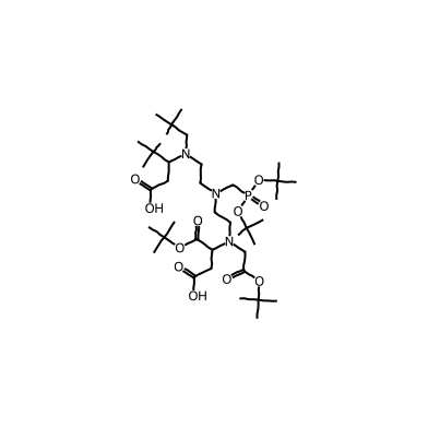 CC(C)(C)CN(CCN(CCN(CC(=O)OC(C)(C)C)C(CC(=O)O)C(=O)OC(C)(C)C)CP(=O)(OC(C)(C)C)OC(C)(C)C)C(CC(=O)O)C(C)(C)C